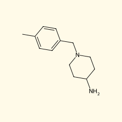 Cc1ccc(CN2CCC(N)CC2)cc1